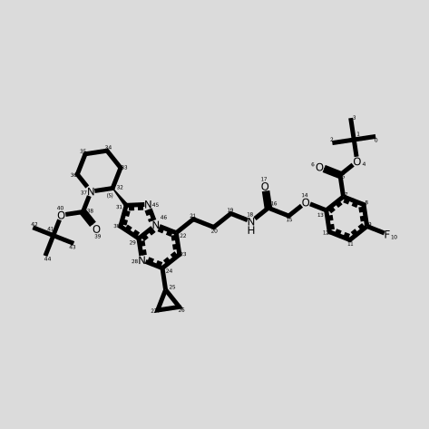 CC(C)(C)OC(=O)c1cc(F)ccc1OCC(=O)NCCCc1cc(C2CC2)nc2cc([C@@H]3CCCCN3C(=O)OC(C)(C)C)nn12